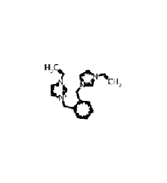 C=Cn1cc[n+](Cc2ccccc2C[n+]2ccn(C=C)c2)c1